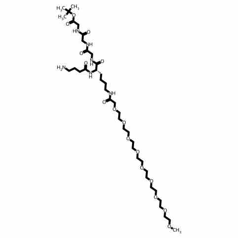 COCCOCCOCCOCCOCCOCCOCCOCCOCC(=O)NCCCC[C@H](NC(=O)CCCN)C(=O)NCC(=O)NCC(=O)NCC(=O)OC(C)(C)C